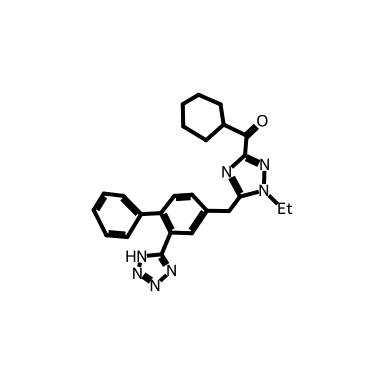 CCn1nc(C(=O)C2CCCCC2)nc1Cc1ccc(-c2ccccc2)c(-c2nnn[nH]2)c1